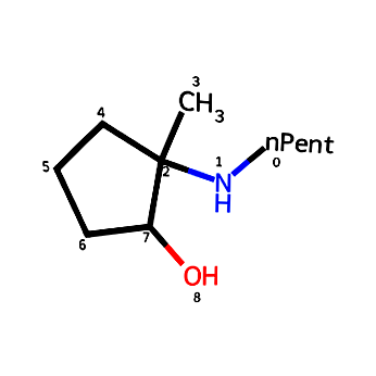 CCCCCNC1(C)CCCC1O